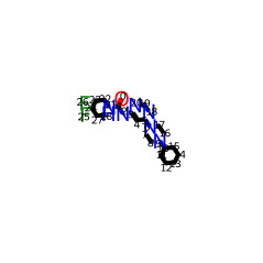 O=C(Nc1cc(N2CCN(C3CCCCC3)CC2)ncn1)N1CCC(F)(F)CC1